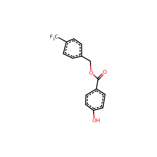 O=C(OCc1ccc(C(F)(F)F)cc1)c1ccc(O)cc1